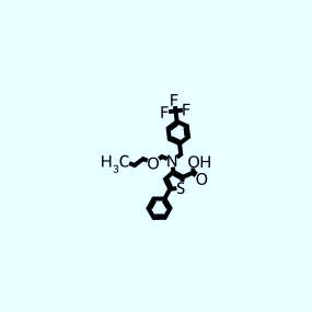 CCCOCN(Cc1ccc(C(F)(F)F)cc1)c1cc(-c2ccccc2)sc1C(=O)O